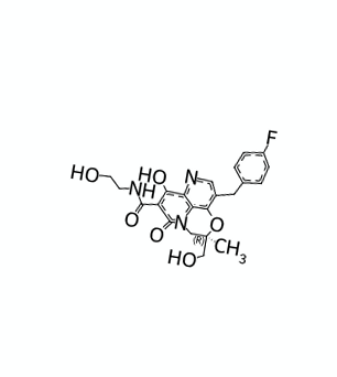 C[C@]1(CO)Cn2c(=O)c(C(=O)NCCO)c(O)c3ncc(Cc4ccc(F)cc4)c(c32)O1